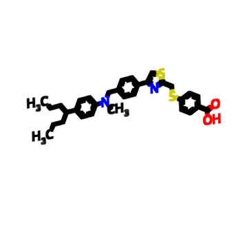 CCCC(CCC)c1ccc(N(C)Cc2ccc(-c3csc(CSc4ccc(C(=O)O)cc4)n3)cc2)cc1